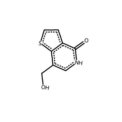 O=c1[nH]cc(CO)c2sccc12